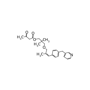 CC(=O)CC(=O)OCC(C)(C)COCC(C)=Cc1ccc(Cc2cccnc2)cc1